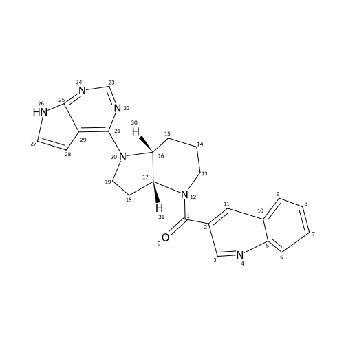 O=C(c1cnc2ccccc2c1)N1CCC[C@@H]2[C@H]1CCN2c1ncnc2[nH]ccc12